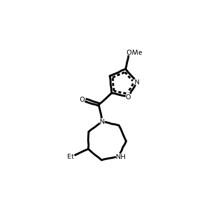 CCC1CNCCN(C(=O)c2cc(OC)no2)C1